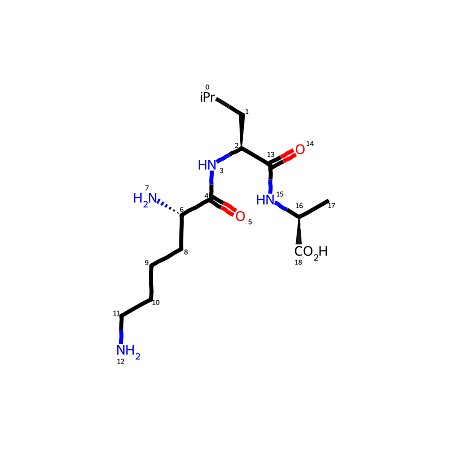 CC(C)C[C@H](NC(=O)[C@@H](N)CCCCN)C(=O)N[C@@H](C)C(=O)O